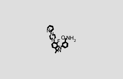 Cc1nn(-c2cccc(C(N)=O)c2)c2c(F)c(N3CCN(c4ccccn4)CC3)ccc12